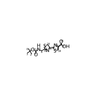 CC(C)(C)OC(=O)NCC1=N[C@H](c2nc(C(=O)O)cs2)CS1